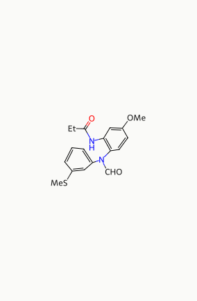 CCC(=O)Nc1cc(OC)ccc1N(C=O)c1cccc(SC)c1